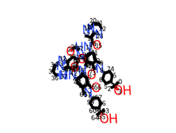 CC(C)(O)[C@H]1CC[C@H](N2Cc3cc(NC(=O)c4cnn5cccnc45)c(N4CCOC(c5nn6cccnc6c5C(=O)Nc5cc6c(cc5N5CCOCC5)C(=O)N([C@H]5CC[C@@H](C(C)(C)O)CC5)C6)C4)cc3C2=O)CC1